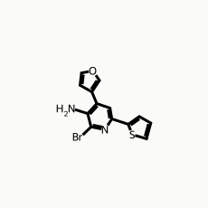 Nc1c(-c2ccoc2)cc(-c2cccs2)nc1Br